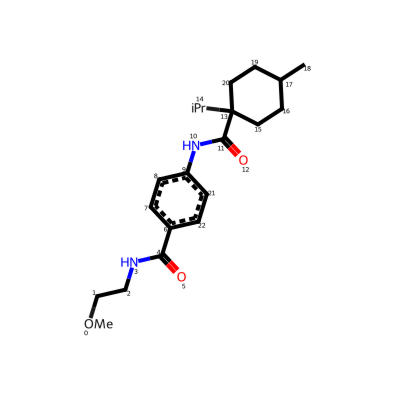 COCCNC(=O)c1ccc(NC(=O)C2(C(C)C)CCC(C)CC2)cc1